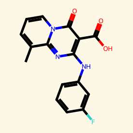 Cc1cccn2c(=O)c(C(=O)O)c(Nc3cccc(F)c3)nc12